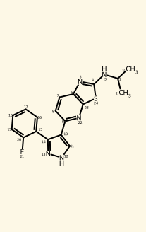 CC(C)Nc1nc2ccc(-c3c[nH]nc3-c3ccccc3F)nc2s1